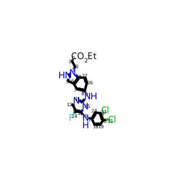 CCOC(=O)CCN1NCc2cc(Nc3ncc(F)c(Nc4ccc(Cl)c(Cl)c4)n3)ccc21